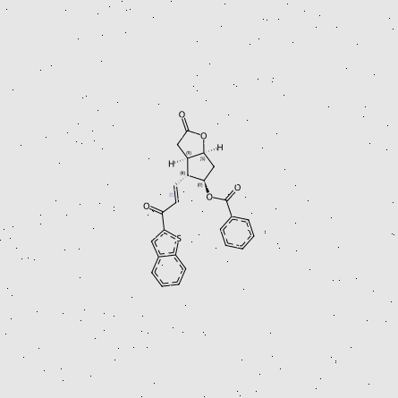 O=C1C[C@@H]2[C@@H](/C=C/C(=O)c3cc4ccccc4s3)[C@H](OC(=O)c3ccccc3)C[C@@H]2O1